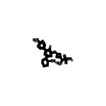 C[C@H]1COCCN1c1nc(O[C@H]2C[C@H](N(C)S(C)(=O)=O)C2)c(F)c(-c2cnc(N)nc2)n1